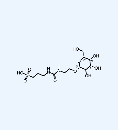 O=C(NCCCS(=O)(=O)O)NCCO[C@@H]1O[C@H](CO)[C@@H](O)[C@H](O)C1O